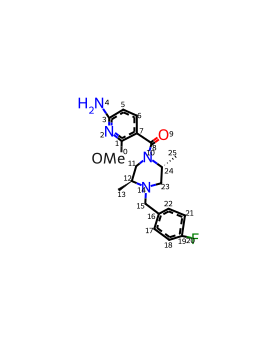 COc1nc(N)ccc1C(=O)N1C[C@H](C)N(Cc2ccc(F)cc2)C[C@H]1C